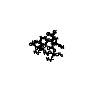 CC(C)(C)OC(=O)n1c(C#N)cc([N+](=O)[O-])c1-c1ccc2c(c1)C(C)(C)OC(=O)N2